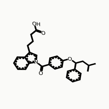 CC(C)CC(Oc1ccc(C(=O)n2cc(CCCC(=O)O)c3ccccc32)cc1)c1ccccc1